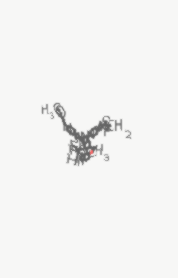 C=C(F)C(=O)N1CC2(CCN(c3nc(N4CC5(CCN(CCCOC)CC5)C4)nc4c(OCC(F)(F)F)c(-c5c(C)ccc6[nH]ncc56)c(C5CC5)cc34)CC2)C1